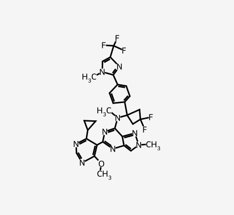 COc1ncnc(C2CC2)c1-c1nc(N(C)C2(c3ccc(-c4nc(C(F)(F)F)cn4C)cc3)CC(F)(F)C2)c2nn(C)cc2n1